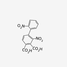 O=C(O)c1ccc(-c2ccccc2[N+](=O)[O-])c([N+](=O)[O-])c1C(=O)O